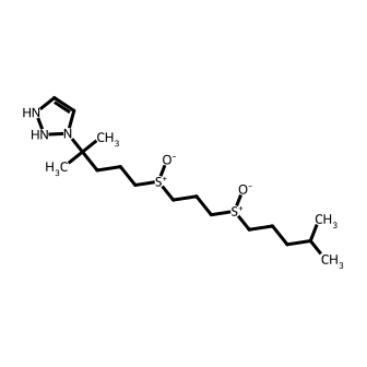 C[C](C)CCC[S+]([O-])CCC[S+]([O-])CCCC(C)(C)N1C=CNN1